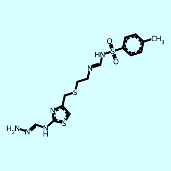 Cc1ccc(S(=O)(=O)NC=NCCSCc2csc(NC=NN)n2)cc1